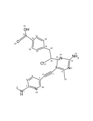 CNc1ccc(C#Cc2c(C)nc(N)nc2C(Cl)Cc2ccc(C(=O)O)cc2)cn1